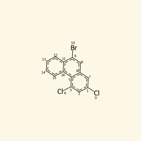 Clc1cc(Cl)c2c(c1)cc(Br)c1ccccc12